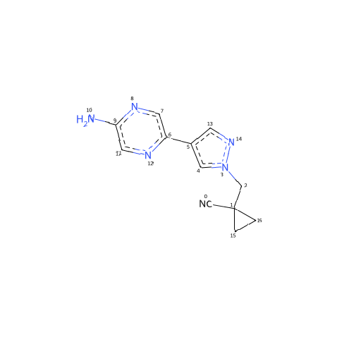 N#CC1(Cn2cc(-c3cnc(N)cn3)cn2)CC1